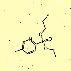 CCOP(=O)(OCCF)c1ccc(C)cn1